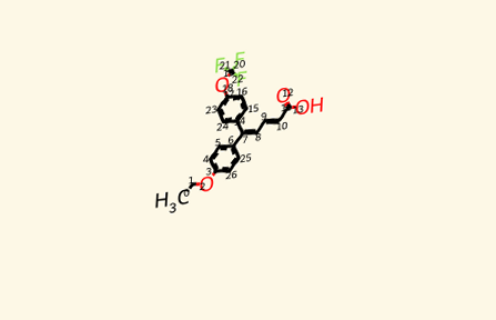 CCOc1ccc(C(=CC=CC(=O)O)c2ccc(OC(F)(F)F)cc2)cc1